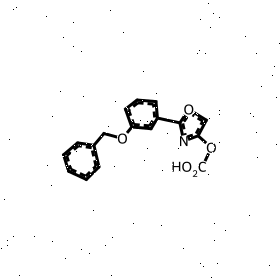 O=C(O)Oc1coc(-c2cccc(OCc3ccccc3)c2)n1